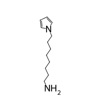 NCCCCCCCCn1cccc1